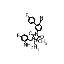 CC1(C)C(=O)N(c2ccc(C#N)c(-c3ccc(F)cc3)c2)C(=O)N1Cc1ccc(F)cc1N